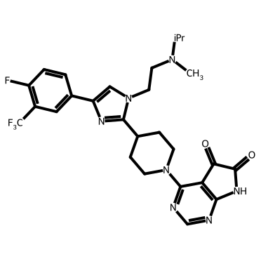 CC(C)N(C)CCn1cc(-c2ccc(F)c(C(F)(F)F)c2)nc1C1CCN(c2ncnc3c2C(=O)C(=O)N3)CC1